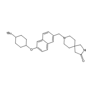 CC(C)(C)C1CCC(Oc2ccc3cc(CN4CCC5(CC4)CNC(=O)C5)ccc3c2)CC1